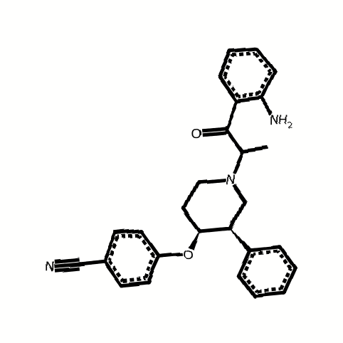 CC(C(=O)c1ccccc1N)N1CC[C@H](Oc2ccc(C#N)cc2)[C@H](c2ccccc2)C1